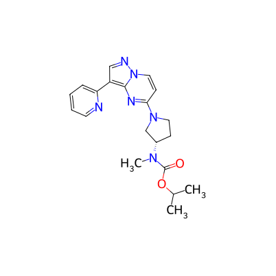 CC(C)OC(=O)N(C)[C@H]1CCN(c2ccn3ncc(-c4ccccn4)c3n2)C1